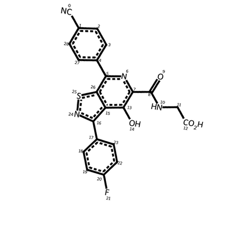 N#Cc1ccc(-c2nc(C(=O)NCC(=O)O)c(O)c3c(-c4ccc(F)cc4)nsc23)cc1